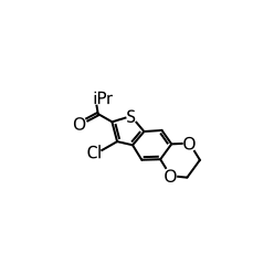 CC(C)C(=O)c1sc2cc3c(cc2c1Cl)OCCO3